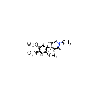 COc1cc(-c2cc[n+](C)cc2)c(C)cc1[N+](=O)[O-]